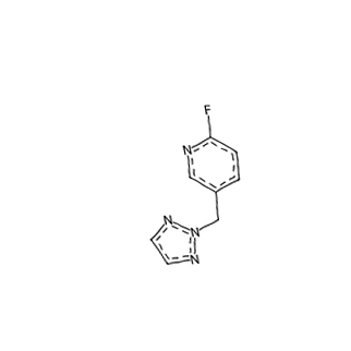 Fc1ccc(Cn2nccn2)cn1